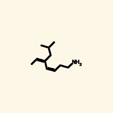 C/C=C(\C=C/CCN)CC(C)C